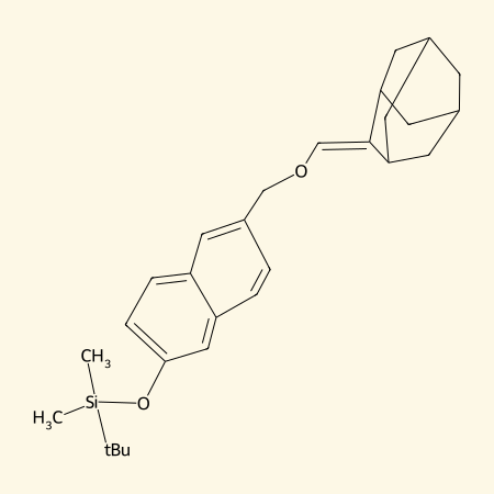 CC(C)(C)[Si](C)(C)Oc1ccc2cc(COC=C3C4CC5CC(C4)CC3C5)ccc2c1